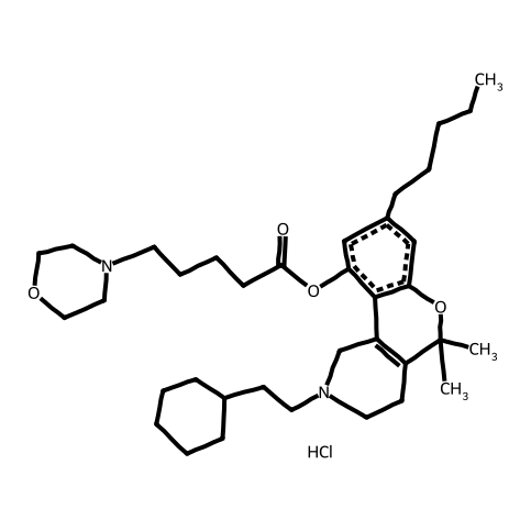 CCCCCc1cc(OC(=O)CCCCN2CCOCC2)c2c(c1)OC(C)(C)C1=C2CN(CCC2CCCCC2)CC1.Cl